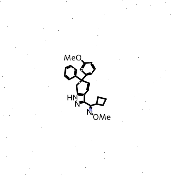 CO/N=C(/c1n[nH]c2c1C=CC(c1ccccc1)(c1cccc(OC)c1)C2)C1CCC1